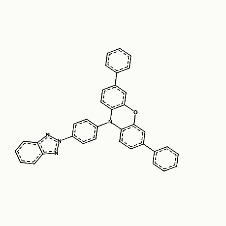 c1ccc(-c2ccc3c(c2)Oc2cc(-c4ccccc4)ccc2N3c2ccc(-n3nc4ccccc4n3)cc2)cc1